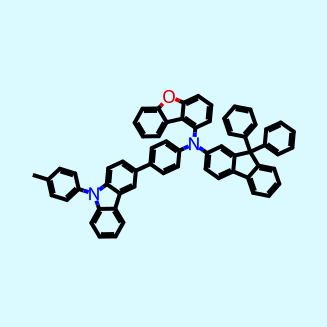 Cc1ccc(-n2c3ccccc3c3cc(-c4ccc(N(c5ccc6c(c5)C(c5ccccc5)(c5ccccc5)c5ccccc5-6)c5cccc6oc7ccccc7c56)cc4)ccc32)cc1